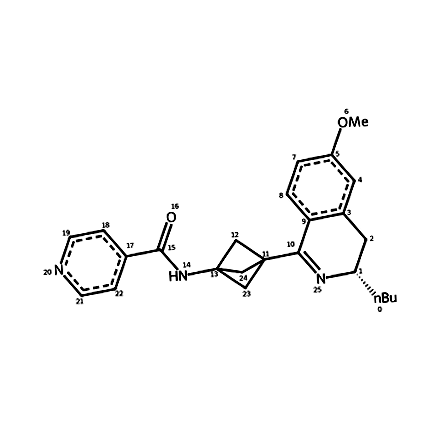 CCCC[C@H]1Cc2cc(OC)ccc2C(C23CC(NC(=O)c4ccncc4)(C2)C3)=N1